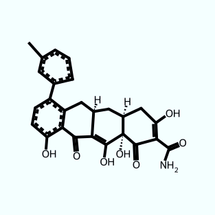 Cc1cccc(-c2ccc(O)c3c2C[C@H]2C[C@H]4CC(O)=C(C(N)=O)C(=O)[C@@]4(O)C(O)=C2C3=O)c1